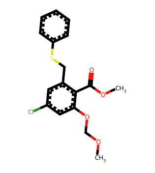 COCOc1cc(Cl)cc(CSc2ccccc2)c1C(=O)OC